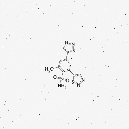 Cc1cc(-c2cnns2)cc(-c2cnns2)c1S(N)(=O)=O